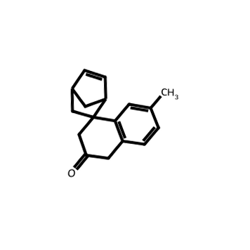 Cc1ccc2c(c1)C1(CC(=O)C2)CC2C=CC1C2